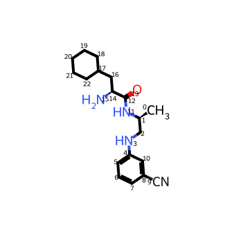 C[C@@H](CNc1cccc(C#N)c1)NC(=O)[C@@H](N)CC1CCCCC1